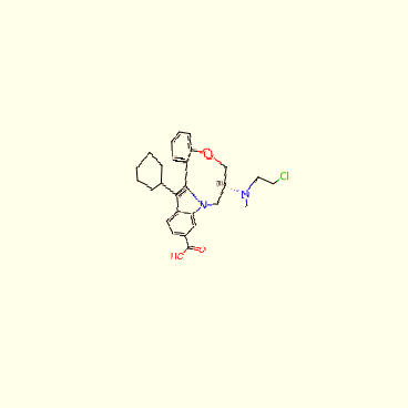 CN(CCCl)[C@H]1COc2ccccc2-c2c(C3CCCCC3)c3ccc(C(=O)O)cc3n2C1